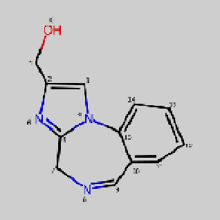 OCc1cn2c(n1)CN=Cc1ccccc1-2